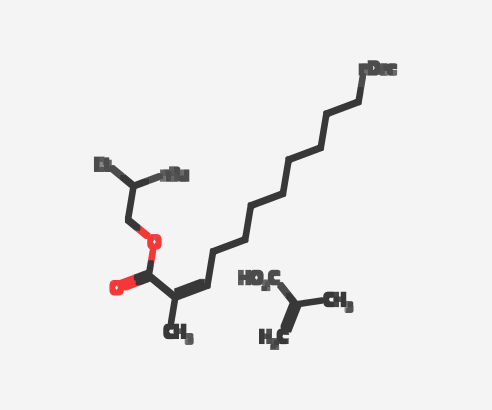 C=C(C)C(=O)O.CCCCCCCCCCCCCCCCCCC=C(C)C(=O)OCC(CC)CCCC